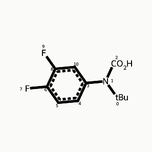 CC(C)(C)N(C(=O)O)c1ccc(F)c(F)c1